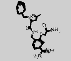 Cc1cc(C(=O)NCc2ccc(C(=N)N)cc2OCC(N)=O)n(Cc2ccccc2)n1